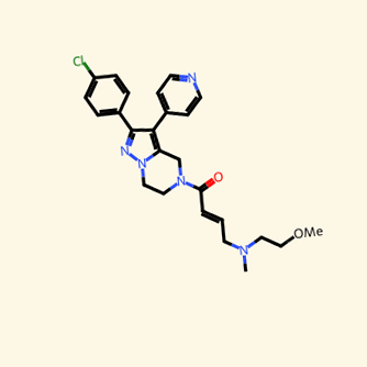 COCCN(C)CC=CC(=O)N1CCn2nc(-c3ccc(Cl)cc3)c(-c3ccncc3)c2C1